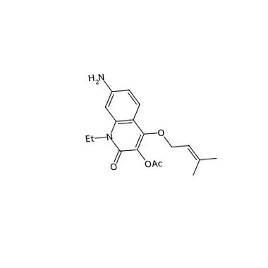 CCn1c(=O)c(OC(C)=O)c(OCC=C(C)C)c2ccc(N)cc21